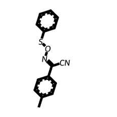 Cc1ccc(C(C#N)=NOSc2ccccc2)cc1